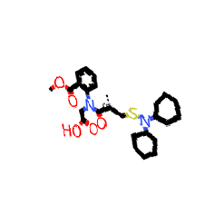 COC(=O)c1ccccc1N(CC(=O)O)C(=O)[C@H](C)CSN(C1CCCCC1)C1CCCCC1